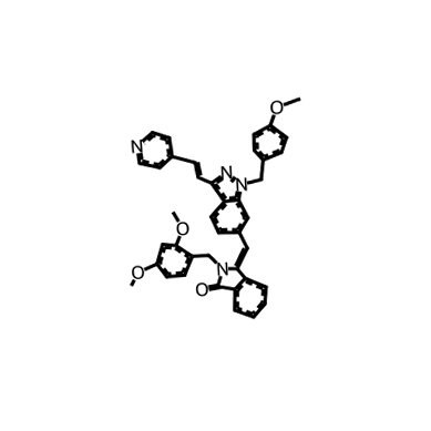 COc1ccc(Cn2nc(/C=C/c3ccncc3)c3ccc(C=C4c5ccccc5C(=O)N4Cc4ccc(OC)cc4OC)cc32)cc1